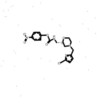 O=C(NC[C@H]1CN(Cc2ccc(Cl)s2)CCO1)Oc1ccc([N+](=O)[O-])cc1